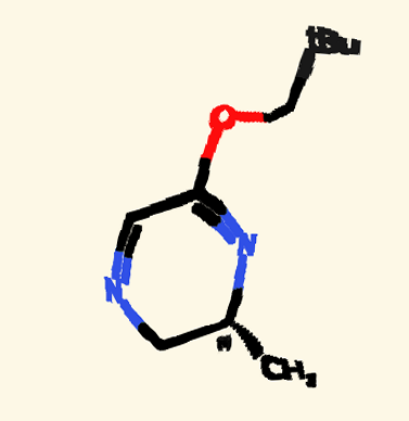 C[C@@H]1CN=CC(OCC(C)(C)C)=N1